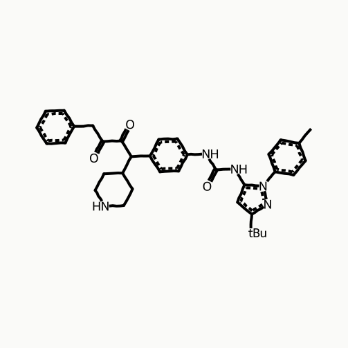 Cc1ccc(-n2nc(C(C)(C)C)cc2NC(=O)Nc2ccc(C(C(=O)C(=O)Cc3ccccc3)C3CCNCC3)cc2)cc1